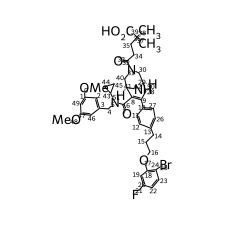 COc1cc(CN(C(=O)C2=C(c3ccc(CCCOc4cc(F)ccc4Br)cc3)C[C@@H]3CN(C(=O)CCC(C)(C)C(=O)O)C[C@H]2N3)C2CC2)cc(OC)c1